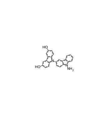 Nn1c2ccccc2c2cc(-n3c4ccc(O)cc4c4cc(O)ccc43)ccc21